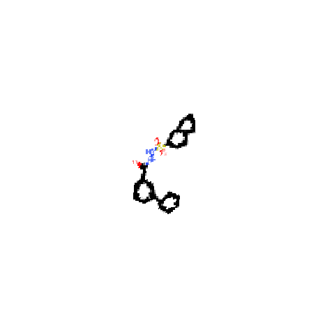 O=C(NNS(=O)(=O)c1ccc2ccccc2c1)c1cccc(-c2ccccc2)c1